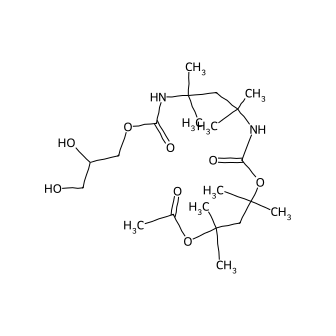 CC(=O)OC(C)(C)CC(C)(C)OC(=O)NC(C)(C)CC(C)(C)NC(=O)OCC(O)CO